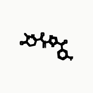 CN1N=C(C(=O)Nc2ncc(C(=O)c3cccc(F)c3)s2)CCC1=O